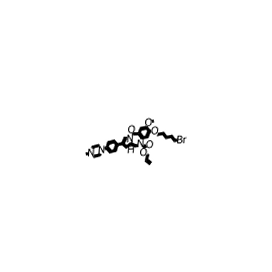 C=CCOC(=O)N1C[C@@H]2CC(c3ccc(N4CCN(C)CC4)cc3)=CN2C(=O)c2cc(OC)c(OCCCCCBr)cc21